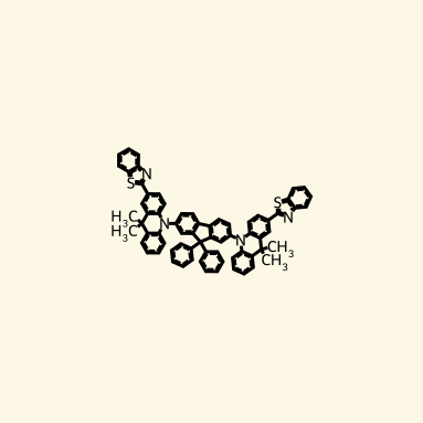 CC1(C)c2ccccc2N(c2ccc3c(c2)C(c2ccccc2)(c2ccccc2)c2cc(N4c5ccccc5C(C)(C)c5cc(-c6nc7ccccc7s6)ccc54)ccc2-3)c2ccc(-c3nc4ccccc4s3)cc21